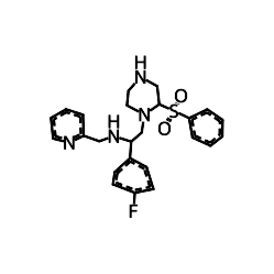 O=S(=O)(c1ccccc1)C1CNCCN1CC(NCc1ccccn1)c1ccc(F)cc1